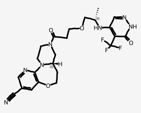 C[C@@H](COCCC(=O)N1CCN2c3ncc(C#N)cc3OCC[C@H]2C1)Nc1cn[nH]c(=O)c1C(F)(F)F